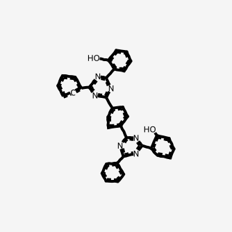 Oc1ccccc1-c1nc(-c2ccccc2)nc(-c2ccc(-c3nc(-c4ccccc4)nc(-c4ccccc4O)n3)cc2)n1